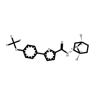 O=C(N[C@@H]1C[C@H]2CC[C@@H]1N2)c1ccc(-c2ccc(OC(F)(F)F)cc2)o1